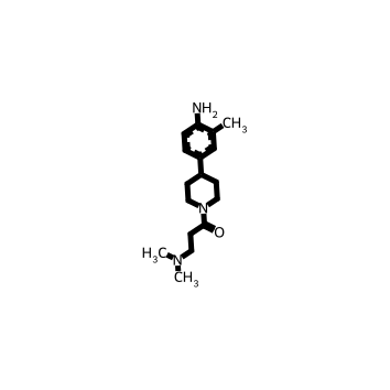 Cc1cc(C2CCN(C(=O)CCN(C)C)CC2)ccc1N